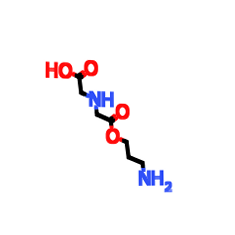 NCCCOC(=O)CNCC(=O)O